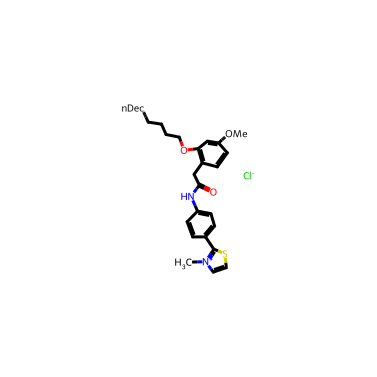 CCCCCCCCCCCCCCOc1cc(OC)ccc1CC(=O)Nc1ccc(-c2scc[n+]2C)cc1.[Cl-]